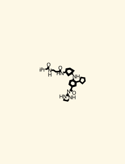 CC(C)C(=O)NCCC(=O)Nc1cccc(Nc2ccc(C(=O)N=C3NCCN3)cc2C2CCCC2)c1